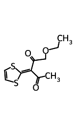 CCOCC(=O)C(C(C)=O)=C1SC=CS1